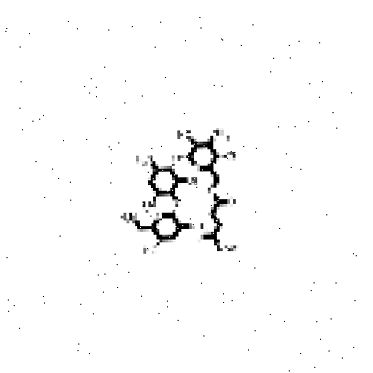 CNC(=O)CCC(=O)OCC1O[C@H](O[C@H]2C(N)C[C@H](N)C(O[C@H]3OC(CN)[C@@H](O)CC3N)C2O)C(O)C(N)[C@@H]1O